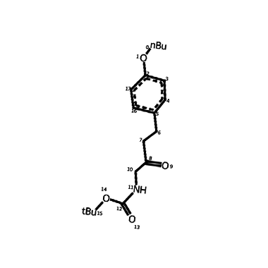 CCCCOc1ccc(CCC(=O)CNC(=O)OC(C)(C)C)cc1